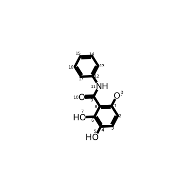 [O]c1ccc(O)c(O)c1C(=O)Nc1ccccc1